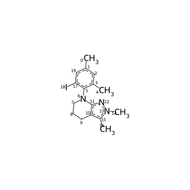 Cc1cc(C)c(N2CCCc3c2nn(C)c3C)c(I)c1